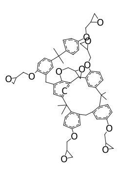 CC(C)(c1ccc(OCC2CO2)cc1)c1ccc(OCC2CO2)c(Cc2cc3cc(c2OCC2CO2)Cc2cc(ccc2OCC2CO2)C(C)(C)c2ccc(OCC4CO4)cc2Cc2cc(OCC4CO4)ccc2C3(C)C)c1